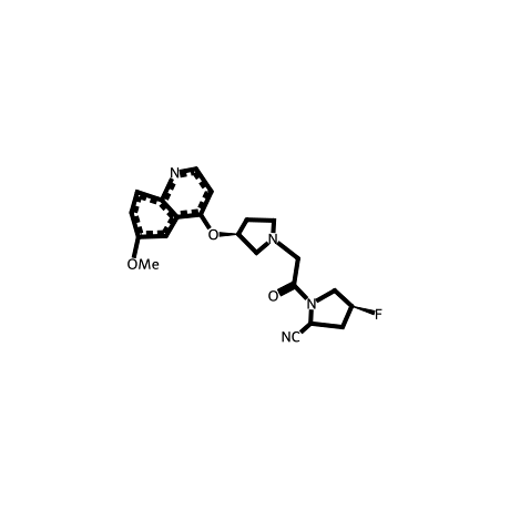 COc1ccc2nccc(O[C@H]3CCN(CC(=O)N4C[C@@H](F)CC4C#N)C3)c2c1